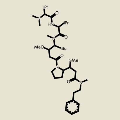 CCC(C)C(C(CC(=O)N1CCCC1C(CC(=O)N(C)CCc1ccccc1)SC)OC)N(C)C(=O)C(NC(=O)C(C(C)C)N(C)C)C(C)C